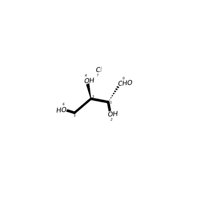 O=C[C@H](O)[C@H](O)CO.[C]